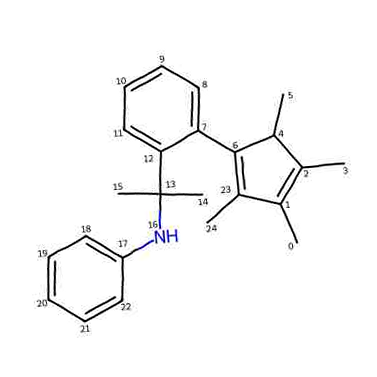 CC1=C(C)C(C)C(c2ccccc2C(C)(C)Nc2ccccc2)=C1C